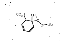 CC(C)(C)OOC1(C)C=CC=CC1C(=O)O